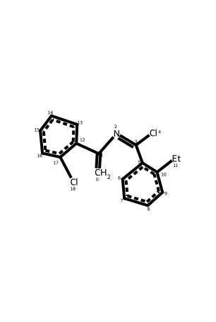 C=C(/N=C(/Cl)c1ccccc1CC)c1ccccc1Cl